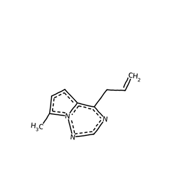 C=CCc1ncnn2c(C)ccc12